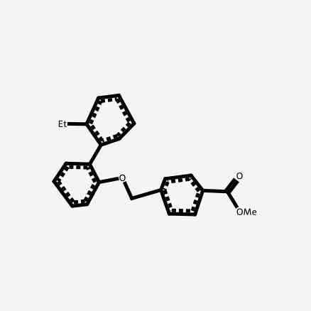 CCc1ccccc1-c1ccccc1OCc1ccc(C(=O)OC)cc1